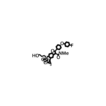 CNC(=O)c1c(-c2ccc(Oc3ccc(F)cc3)cc2)oc2cc(N(CCCO)S(C)(=O)=O)c(C3CC3)cc12